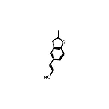 CC1Cc2cc(/C=C/C#N)ccc2O1